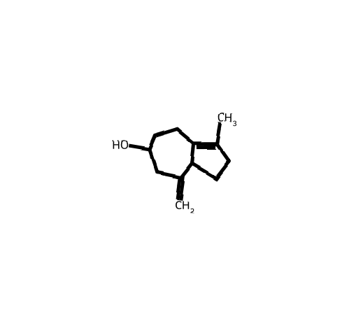 C=C1CC(O)CCC2=C(C)CCC12